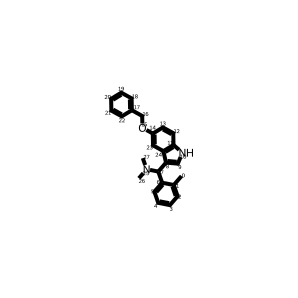 Cc1ccccc1C(c1c[nH]c2ccc(OCc3ccccc3)cc12)N(C)C